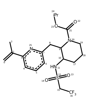 C=C(C)c1cccc(CC2C(NS(=O)(=O)CC(F)(F)F)CCCN2C(=O)OC(C)C)n1